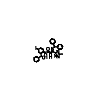 Cc1nnc2n1-c1ccccc1C(c1ccccc1)=NC2NC(=O)Nc1ccc(I)cc1C(=O)c1ccccc1